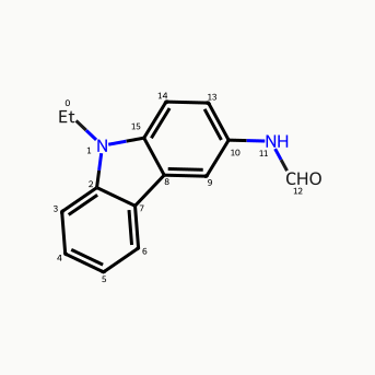 CCn1c2ccccc2c2cc(NC=O)ccc21